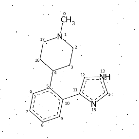 CN1CCC(c2ccccc2-c2c[nH]cn2)CC1